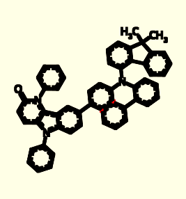 CC1(C)c2ccccc2-c2c(N(c3ccc(-c4ccc5c(c4)c4c(ccc(=O)n4-c4ccccc4)n5-c4ccccc4)cc3)c3ccccc3-c3ccccc3)cccc21